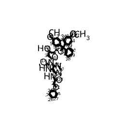 COc1ccc(C(OC[C@H]2O[C@@H](n3c(=O)[nH]c4c(NC(=O)COc5ccccc5)ncnc43)C[C@H]2O)(c2ccccc2)c2ccc(OC)cc2)cc1